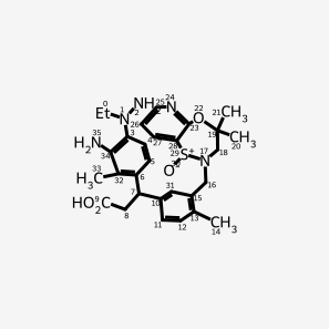 CCN(N)c1ccc(C(CC(=O)O)c2ccc(C)c(CN3CC(C)(C)Oc4ncccc4[S+]3[O-])c2)c(C)c1N